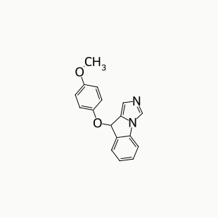 COc1ccc(OC2c3ccccc3-n3cncc32)cc1